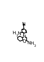 N#Cc1ccc(N(CC(N)=O)C2CCCCC2)c(N)c1